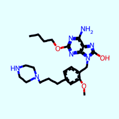 CCCCOc1nc(N)c2nc(O)n(Cc3ccc(CCCN4CCNCC4)cc3OC)c2n1